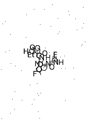 CC[C@]1(O)C(=O)OCc2c1cc1n(c2=O)Cc2c-1nc1cc(F)c(C)c3c1c2[C@H](NC(=O)[C@@H]1C[C@@H](F)CN1)CC3